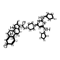 CC1C[C@H]2[C@@H]3CCC4=CC(=O)C=C[C@]4(C)C3=CC[C@]2(C)[C@H]1C(=O)CN1CCN(c2cc(NC3CCCC3)nc(NC3CCCC3)n2)CC1